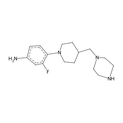 Nc1ccc(N2CCC(CN3CCNCC3)CC2)c(F)c1